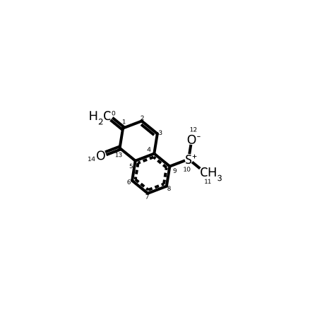 C=C1C=Cc2c(cccc2[S+](C)[O-])C1=O